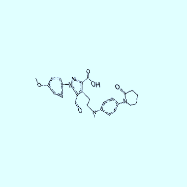 COc1ccc(-n2nc(C(=O)O)c(CCN(C)c3ccc(N4CCCCC4=O)cc3)c2C=O)cc1